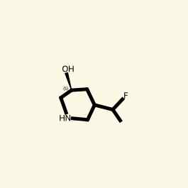 CC(F)C1CNC[C@@H](O)C1